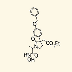 CCOC(=O)CC1(c2ccc(OCc3ccccc3)cc2)CCN(C(C)C(=O)NO)C1=O